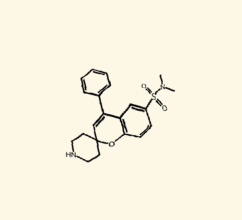 CN(C)S(=O)(=O)c1ccc2c(c1)C(c1ccccc1)=CC1(CCNCC1)O2